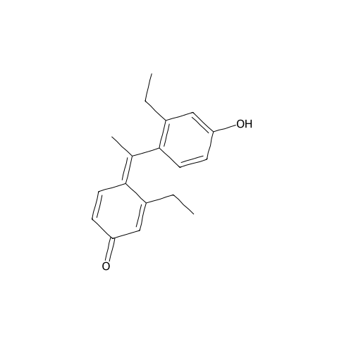 CCC1=CC(=O)C=CC1=C(C)c1ccc(O)cc1CC